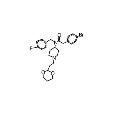 O=C(Cc1ccc(Br)cc1)N(Cc1ccc(F)cc1)C1CCN(CCC2OCCCO2)CC1